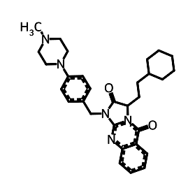 CN1CCN(c2ccc(CN3C(=O)C(CCC4CCCCC4)n4c3nc3ccccc3c4=O)cc2)CC1